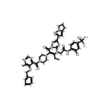 CCc1c(N2CCN(C(=O)c3ncnc(C)c3OCc3ccccc3)CC2)c(=O)n2nc(-c3cc4n(n3)CCC4)nc2n1CC(=O)Nc1ccc(C(F)(F)F)cc1Cl